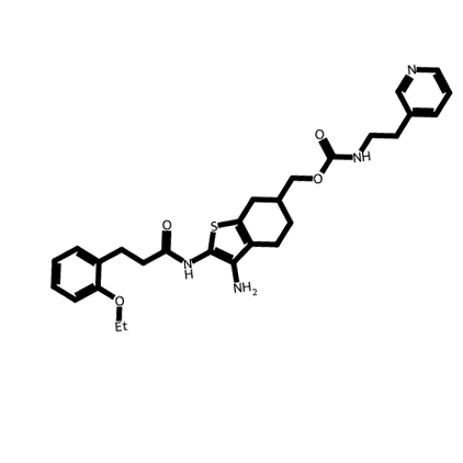 CCOc1ccccc1CCC(=O)Nc1sc2c(c1N)CCC(COC(=O)NCCc1cccnc1)C2